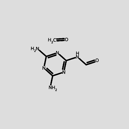 C=O.Nc1nc(N)nc(NC=O)n1